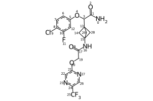 NC(=O)C(Oc1ccc(Cl)c(F)c1)C12CC(NC(=O)COc3cnc(C(F)(F)F)cn3)(C1)C2